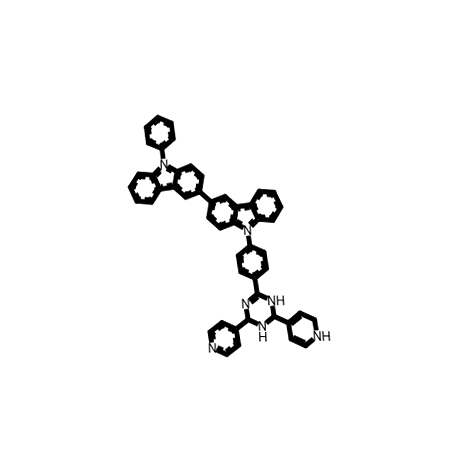 C1=CC(C2NC(c3ccc(-n4c5ccccc5c5cc(-c6ccc7c(c6)c6ccccc6n7-c6ccccc6)ccc54)cc3)=NC(c3ccncc3)N2)=CCN1